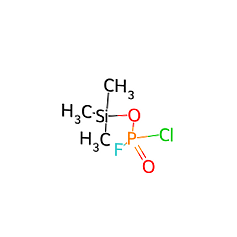 C[Si](C)(C)OP(=O)(F)Cl